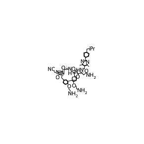 Cc1nc(-c2ccc(CC(C)C)cc2)nc(C)c1C(=O)N[C@@H](CCN)C(=O)N(C)[C@@H]1C(=O)N[C@@H](C)C(=O)N[C@H](C(=O)NCC#N)Cc2ccc(OCCN)c(c2)-c2cc1ccc2OCCN